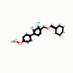 CCCCOc1ccc(-c2ccc(COC=C3CCCCC3)c(F)c2F)cc1